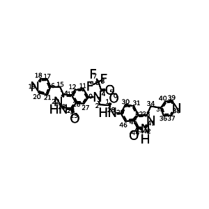 O=C(CN(C(=O)C(F)(F)F)c1ccc2c(Cc3ccncc3)n[nH]c(=O)c2c1)Nc1ccc2c(Cc3ccncc3)n[nH]c(=O)c2c1